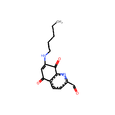 CCCCCNC1=CC(=O)c2ccc(C=O)nc2C1=O